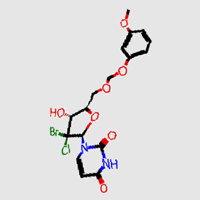 COc1cccc(OCOC[C@H]2O[C@@H](n3ccc(=O)[nH]c3=O)[C@](Cl)(Br)[C@@H]2O)c1